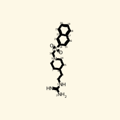 N=C(N)NCCC1CCN(CS(=O)(=O)c2ccc3ccccc3c2)CC1